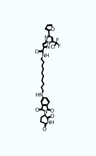 O=C1CCC(N2C(=O)c3ccc(NCCCCCCCCCCNC(=O)c4cc5nc(-c6ccco6)cc(C(F)(F)Cl)n5n4)cc3C2=O)C(=O)N1